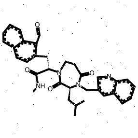 CNC(=O)[C@H](Cc1ccc2ccccc2c1C=O)N1CCC(=O)N(Cc2cnc3ccccc3c2)[C@@H](CC(C)C)C1=O